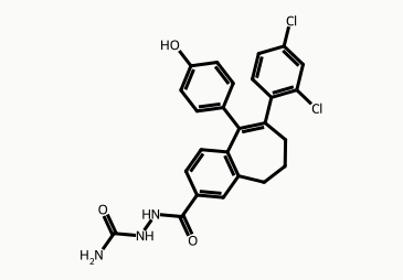 NC(=O)NNC(=O)c1ccc2c(c1)CCCC(c1ccc(Cl)cc1Cl)=C2c1ccc(O)cc1